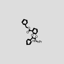 CCCNC(=O)C(Oc1ccccc1C(=O)OCc1ccccc1)c1ccccc1